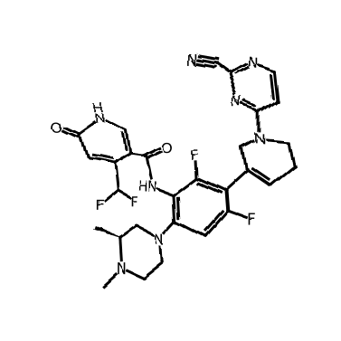 C[C@H]1CN(c2cc(F)c(C3=CCCN(c4ccnc(C#N)n4)C3)c(F)c2NC(=O)c2c[nH]c(=O)cc2C(F)F)CCN1C